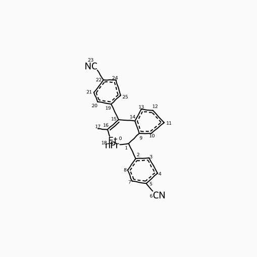 CCCC(c1ccc(C#N)cc1)c1ccccc1/C(=C(/C)CC)c1ccc(C#N)cc1